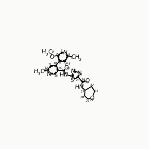 COc1cnc(C)c(F)c1-c1cc(C)ncc1C(=O)Nc1nnc(C(=O)NC2CCOCC2)s1